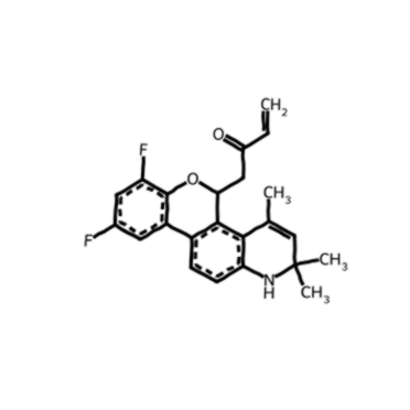 C=CC(=O)CC1Oc2c(F)cc(F)cc2-c2ccc3c(c21)C(C)=CC(C)(C)N3